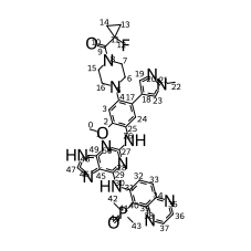 COc1cc(N2CCN(C(=O)C3(F)CC3)CC2)c(-c2cnn(C)c2)cc1Nc1nc(Nc2ccc3nccnc3c2P(C)(C)=O)c2nc[nH]c2n1